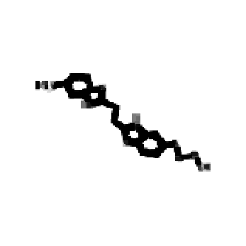 O=S(=O)(O)c1ccc2nc(C=Cc3nc4ccc(SOOO)cc4[nH]3)[nH]c2c1